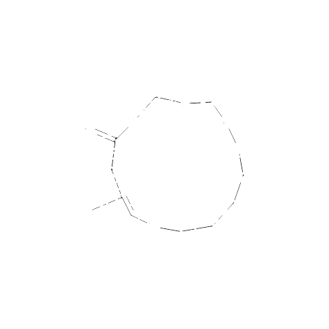 C/C1=C/CCCCCCCCCCCC(=O)C1